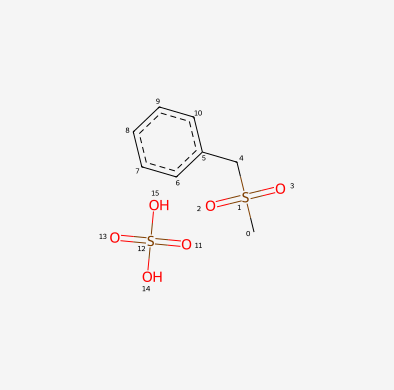 CS(=O)(=O)Cc1ccccc1.O=S(=O)(O)O